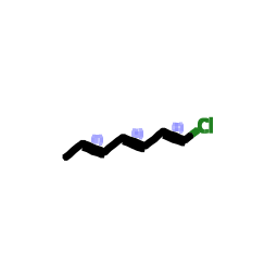 C/C=C/C=C/C=C/Cl